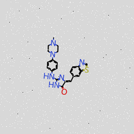 CN1CCN(c2ccc(NC3=N/C(=C\c4ccc5ncsc5c4)C(=O)N3)cc2)CC1